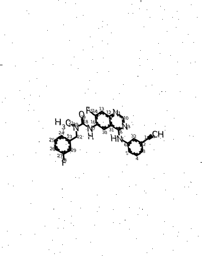 C#Cc1cccc(Nc2ncnc3cc(F)c(NC(=O)N(C)Cc4cccc(F)c4)cc23)c1